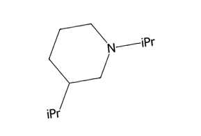 CC(C)C1CCCN(C(C)C)C1